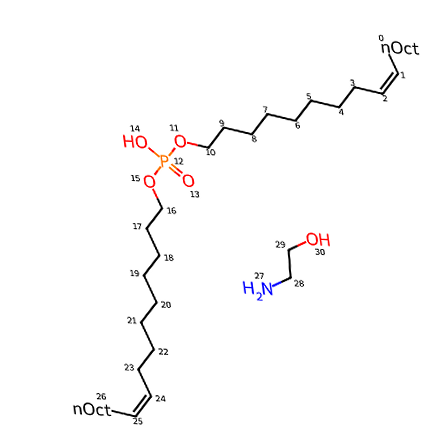 CCCCCCCC/C=C\CCCCCCCCOP(=O)(O)OCCCCCCCC/C=C\CCCCCCCC.NCCO